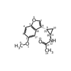 COc1ccc2occ([C@@H]3C[C@H]3NC(C)=O)c2c1